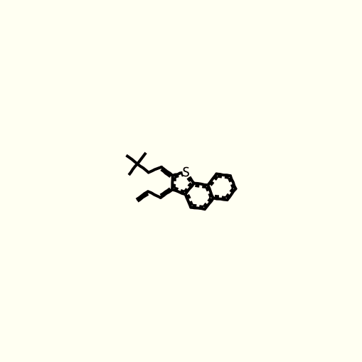 C=C/C=c1\c(=C/CC(C)(C)C)sc2c1ccc1ccccc12